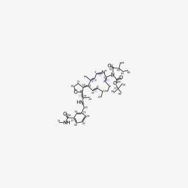 CC/C=C(/N=C\C=C(/C)C(/C=C/CC)=C1CCO/C1=C(/C)NCc1cccc(C(=O)NC)c1)N(C(=O)OC(C)(C)C)C(=O)C(C)CC